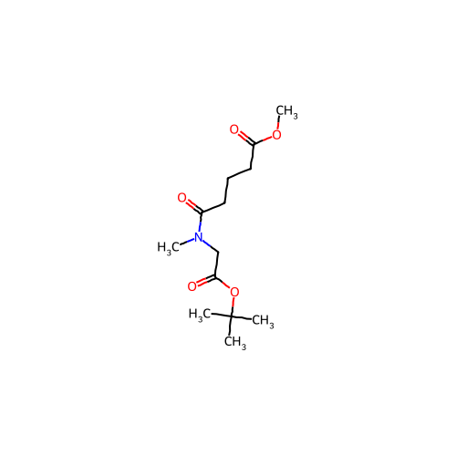 COC(=O)CCCC(=O)N(C)CC(=O)OC(C)(C)C